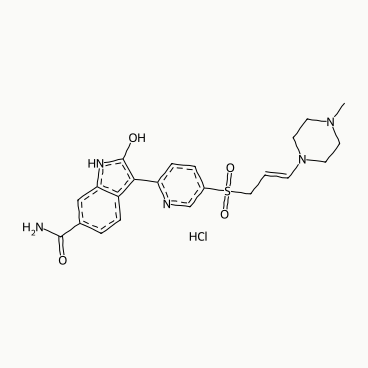 CN1CCN(C=CCS(=O)(=O)c2ccc(-c3c(O)[nH]c4cc(C(N)=O)ccc34)nc2)CC1.Cl